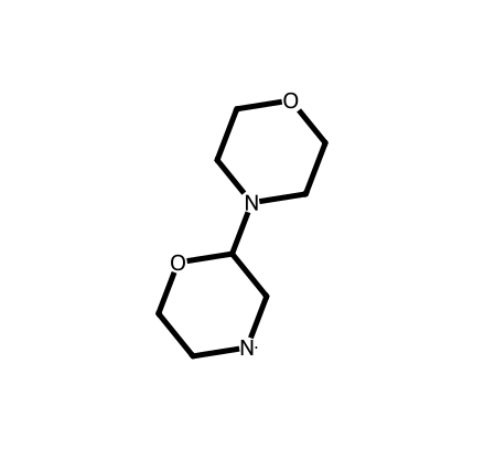 C1COC(N2CCOCC2)C[N]1